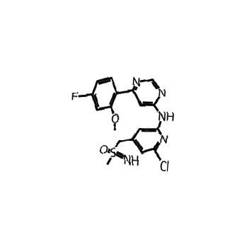 COc1cc(F)ccc1-c1cc(Nc2cc(CS(C)(=N)=O)cc(Cl)n2)ncn1